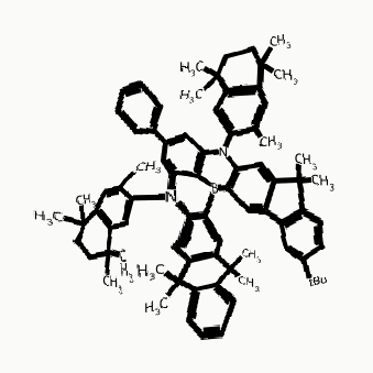 Cc1cc2c(cc1N1c3cc4c(cc3B3c5cc6c(cc5N(c5cc7c(cc5C)C(C)(C)CCC7(C)C)c5cc(-c7ccccc7)cc1c53)C(C)(C)c1ccccc1C6(C)C)-c1cc(C(C)(C)C)ccc1C4(C)C)C(C)(C)CCC2(C)C